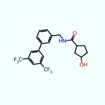 O=C(NCc1cccc(-c2cc(C(F)(F)F)cc(C(F)(F)F)c2)c1)C1CCC(O)C1